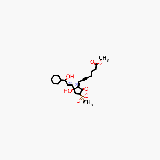 COC(=O)CCCC#C/C=C1\C(=O)C(S(C)(=O)=O)=CC1(O)/C=C/C(O)C1CCCCC1